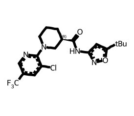 CC(C)(C)c1cc(NC(=O)[C@@H]2CCCN(c3ncc(C(F)(F)F)cc3Cl)C2)no1